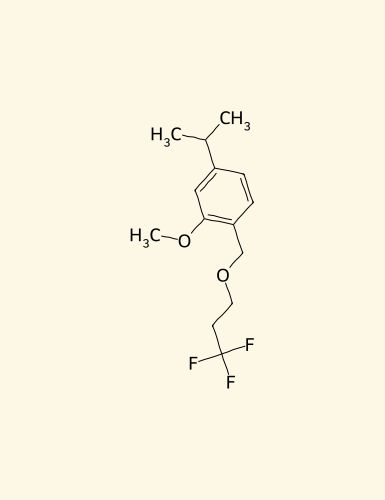 COc1cc(C(C)C)ccc1COCCC(F)(F)F